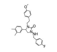 COc1ccc(CCN2C(=O)N(NCc3ccc(F)cc3)CC2c2ccc(C)c(C)c2)cc1